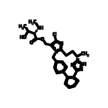 CCCCc1nc(Cl)c(COC(=O)[C@@H](NC)C(C)O)n1Cc1ccc(-c2ccccc2-c2nn[nH]n2)cc1